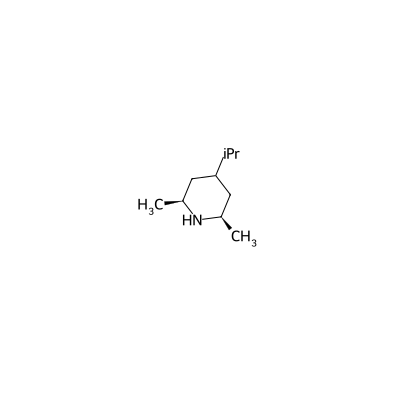 CC(C)C1C[C@@H](C)N[C@@H](C)C1